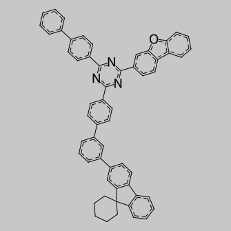 c1ccc(-c2ccc(-c3nc(-c4ccc(-c5cccc(-c6ccc7c(c6)C6(CCCCC6)c6ccccc6-7)c5)cc4)nc(-c4ccc5c(c4)oc4ccccc45)n3)cc2)cc1